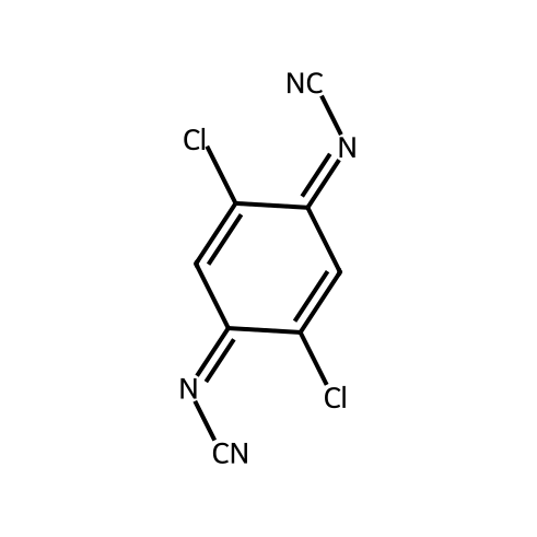 N#C/N=C1C=C(Cl)/C(=N\C#N)C=C/1Cl